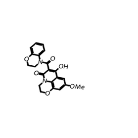 COc1cc2c3c(c1)c(O)c(C(=O)N1CCOc4ccccc41)c(=O)n3CCO2